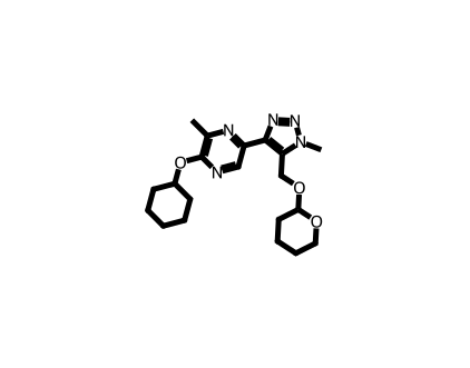 Cc1nc(-c2nnn(C)c2COC2CCCCO2)cnc1OC1CCCCC1